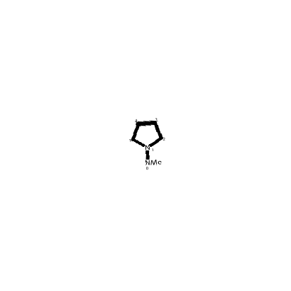 CNN1[CH]CCC1